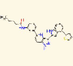 CCCCC(=O)Nc1cccc(-c2ccc3[nH]nc(-c4cc5c(-c6cccs6)cccc5[nH]4)c3n2)c1